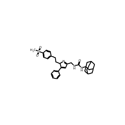 CS(=O)(=O)c1ccc(CCC2N=C(CNC(=O)NC34CC5CC(CC(C5)C3)C4)C=C2c2ccccc2)cc1